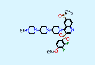 CCN1CCN(C2CCN(C3CCN(c4c(S(=O)(=O)c5ccc(OC(C)(C)C)c(F)c5F)cnc5ccc([S+](C)[O-])cc45)CC3)CC2)CC1